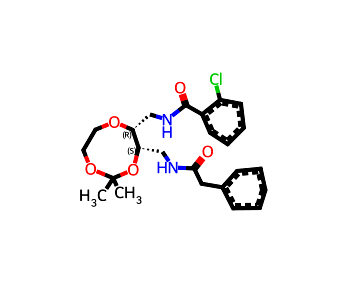 CC1(C)OCCO[C@H](CNC(=O)c2ccccc2Cl)[C@H](CNC(=O)Cc2ccccc2)O1